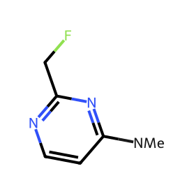 CNc1ccnc(CF)n1